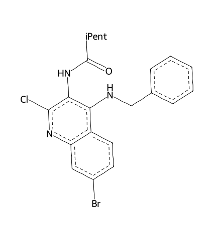 CCCC(C)C(=O)Nc1c(Cl)nc2cc(Br)ccc2c1NCc1ccccc1